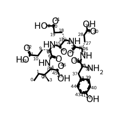 CC[C@H](C)[C@H](NC(=O)[C@H](CCC(=O)O)NC(=O)[C@H](CCC(=O)O)NC(=O)[C@H](CCC(=O)O)NC(=O)[C@@H](N)Cc1ccc(O)cc1)C(=O)O